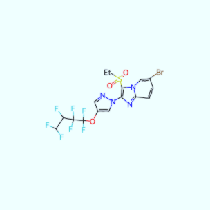 CCS(=O)(=O)c1c(-n2cc(OC(F)(F)C(F)(F)C(F)C(F)F)cn2)nc2ccc(Br)cn12